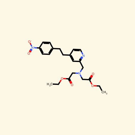 CCOC(=O)CN(CC(=O)OCC)Cc1cc(CCc2ccc([N+](=O)[O-])cc2)ccn1